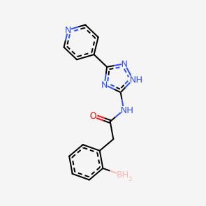 Bc1ccccc1CC(=O)Nc1nc(-c2ccncc2)n[nH]1